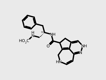 O=C(O)NC[C@H](Cc1ccccc1)NC(=O)C1CC2=CNN=C3C=CNCC1=C23